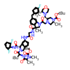 CCC(C)C(NC(=O)C(C)N(C)C(=O)OC(C)(C)C)C(=O)N1Cc2ccc(NC(=O)CNC(=O)[C@]3(C)CN(C(=O)CN4C[C@@H](C)N(C(=O)OC(C)(C)C)C[C@@H]4CN4CCOC[C@H]4C)c4cc(Cc5ccc(F)cc5)ccc43)cc2[C@H]1C(=O)Nc1c(F)cccc1F